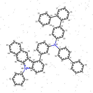 c1ccc(-c2ccc(N(c3ccc(-c4ccccc4-c4ccccc4)cc3)c3cccc(-c4cccc5c4c4cc6ccccc6cc4n5-c4ccccc4)c3)cc2)cc1